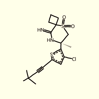 CC(C)(C)C#Cc1cc(Cl)c([C@]2(C)CS(=O)(=O)C3(CCC3)C(=N)N2)s1